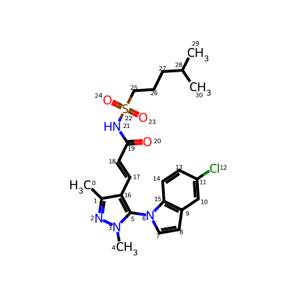 Cc1nn(C)c(-n2ccc3cc(Cl)ccc32)c1C=CC(=O)NS(=O)(=O)CCCC(C)C